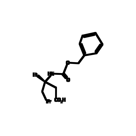 CC[C@@](CC(=O)O)(CC(C)C)NC(=O)OCc1ccccc1